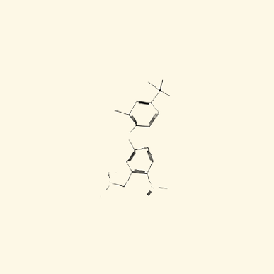 CN(C)Cc1cc(Oc2ccc(C(F)(F)F)cc2Cl)ccc1[N+](=O)[O-]